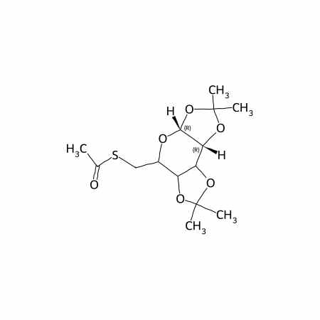 CC(=O)SCC1O[C@@H]2OC(C)(C)O[C@@H]2C2OC(C)(C)OC12